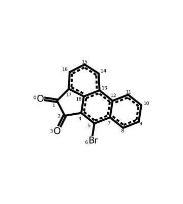 O=C1C(=O)c2c(Br)c3ccccc3c3cccc1c23